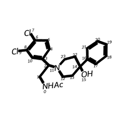 CC(=O)NCC(c1ccc(Cl)c(Cl)c1)N1CCC(O)(c2ccccc2)CC1